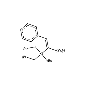 CC(C)C[Si](CC(C)C)(C(=Cc1ccccc1)S(=O)(=O)O)C(C)(C)C